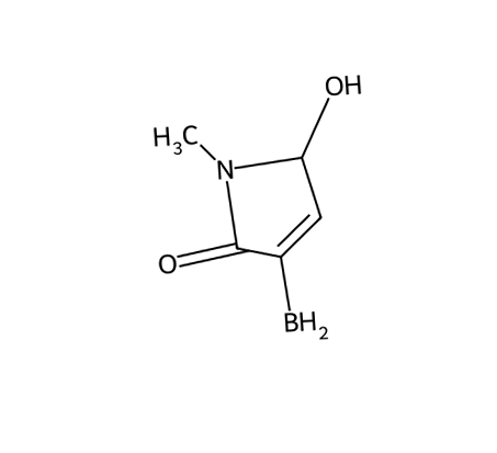 BC1=CC(O)N(C)C1=O